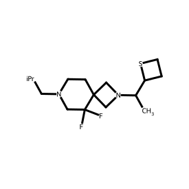 CC(C)CN1CCC2(CN(C(C)C3CCS3)C2)C(F)(F)C1